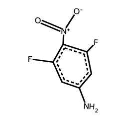 Nc1cc(F)c([N+](=O)[O-])c(F)c1